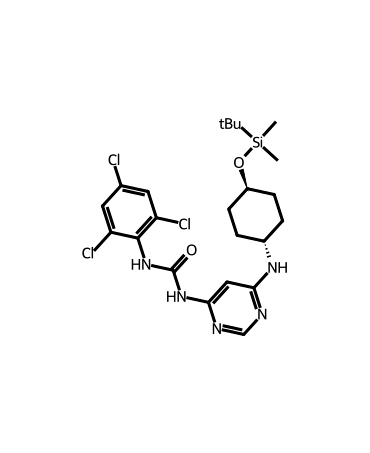 CC(C)(C)[Si](C)(C)O[C@H]1CC[C@H](Nc2cc(NC(=O)Nc3c(Cl)cc(Cl)cc3Cl)ncn2)CC1